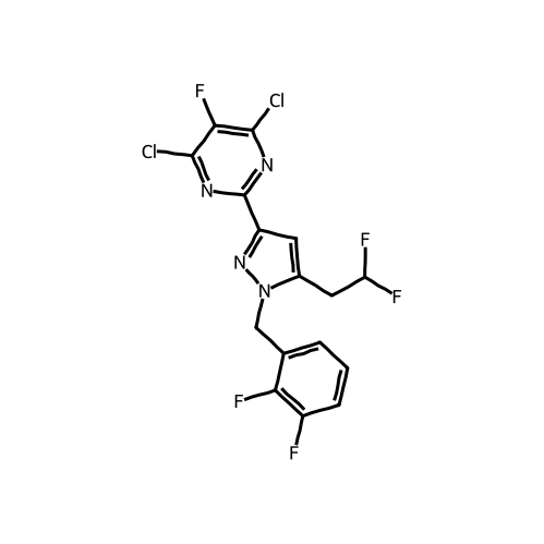 Fc1cccc(Cn2nc(-c3nc(Cl)c(F)c(Cl)n3)cc2CC(F)F)c1F